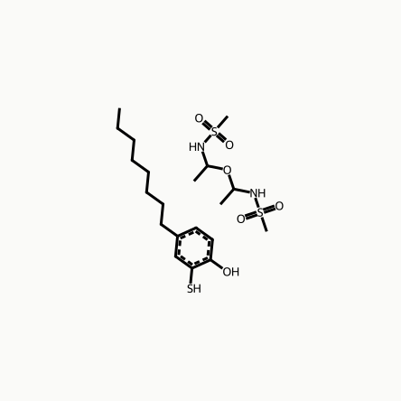 CC(NS(C)(=O)=O)OC(C)NS(C)(=O)=O.CCCCCCCCc1ccc(O)c(S)c1